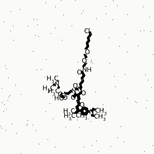 CCN(CC)CC.CCN(CC)c1ccc2c(c1)OC(=CC=C1C(=O)N(CCCCCC(=O)NCCOCCOCCCCCCCl)C(=O)N(CCCS(=O)(=O)O)C1=O)C=C2C(C)(C)C